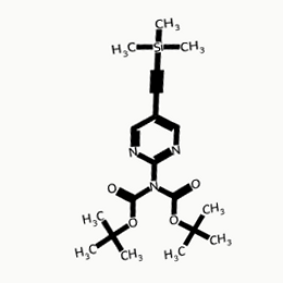 CC(C)(C)OC(=O)N(C(=O)OC(C)(C)C)c1ncc(C#C[Si](C)(C)C)cn1